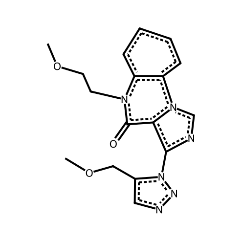 COCCn1c(=O)c2c(-n3nncc3COC)ncn2c2ccccc21